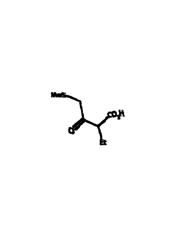 CCC(C(=O)O)C(=O)CSC